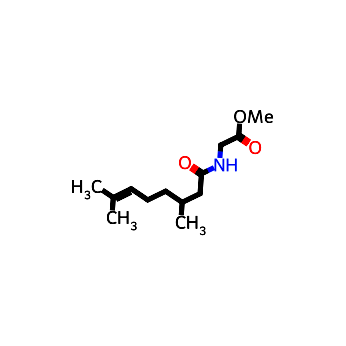 COC(=O)CNC(=O)CC(C)CCC=C(C)C